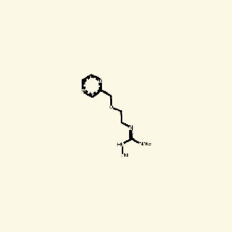 CN/C(=N/CCOCc1cnccn1)NC#N